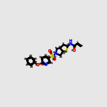 C=CC(=O)NC1CC2CN(S(=O)(=O)c3ccc(Oc4ccccc4)nc3)CC2S1